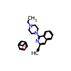 C#Cc1cc2ccccc2c(N2CCN(CC)CC2)n1.O=C1c2cccc1c2